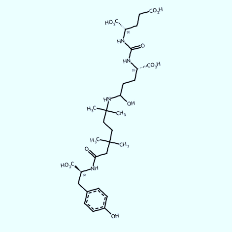 CC(C)(CCC(C)(C)NC(O)CC[C@H](NC(=O)N[C@@H](CCC(=O)O)C(=O)O)C(=O)O)CC(=O)N[C@@H](Cc1ccc(O)cc1)C(=O)O